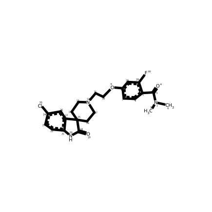 CN(C)C(=O)c1ccc(OCCN2CCC3(CC2)C(=O)Nc2ccc(Cl)cc23)cc1F